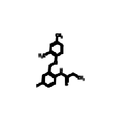 CCC(=S)Nc1ccc(I)cc1COc1ccc(C)cc1C